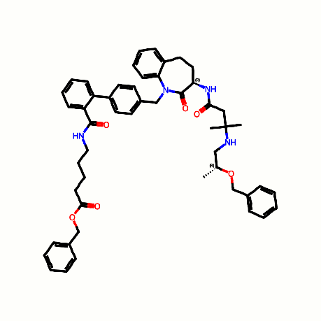 C[C@H](CNC(C)(C)CC(=O)N[C@@H]1CCc2ccccc2N(Cc2ccc(-c3ccccc3C(=O)NCCCCC(=O)OCc3ccccc3)cc2)C1=O)OCc1ccccc1